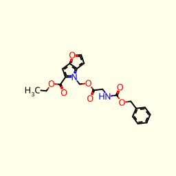 CCOC(=O)c1cc2occc2n1COC(=O)CNC(=O)OCc1ccccc1